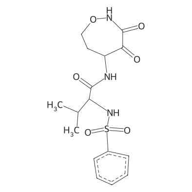 CC(C)C(NS(=O)(=O)c1ccccc1)C(=O)NC1CCONC(=O)C1=O